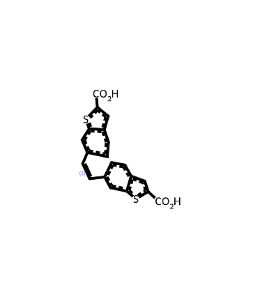 O=C(O)c1cc2ccc(/C=C\c3ccc4cc(C(=O)O)sc4c3)cc2s1